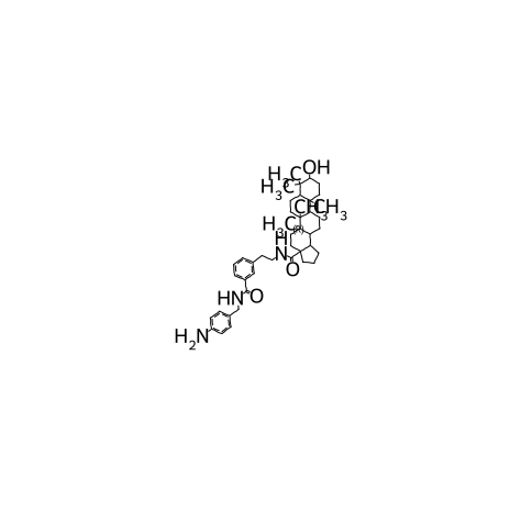 CC1(C)C(O)CCC2(C)C1CCC1(C)C2CCC2C3CCCC3(C(=O)NCCc3cccc(C(=O)NCc4ccc(N)cc4)c3)CC[C@]21C